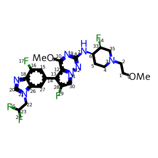 COCCN1CC[C@@H](Nc2nc(OC)c3c(-c4cc(F)c5ncn(CC(F)F)c5c4)c(F)cn3n2)[C@@H](F)C1